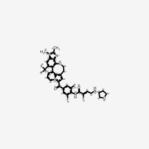 Cc1nc2c3c(c(C(F)(F)F)cc2n1C)-c1cccn2c(C(=O)c4cc(F)c(NC(=O)/C(F)=C/CN[C@@H]5CCOC5)c(F)c4)cc(c12)CCO3